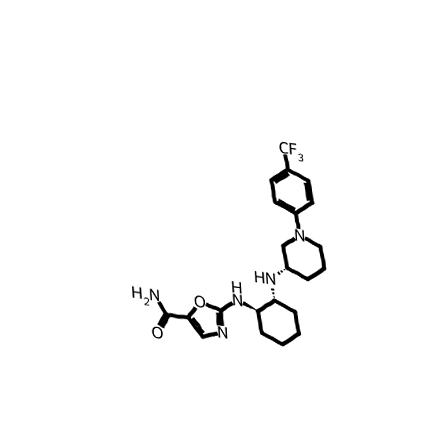 NC(=O)c1cnc(N[C@@H]2CCCC[C@H]2N[C@H]2CCCN(c3ccc(C(F)(F)F)cc3)C2)o1